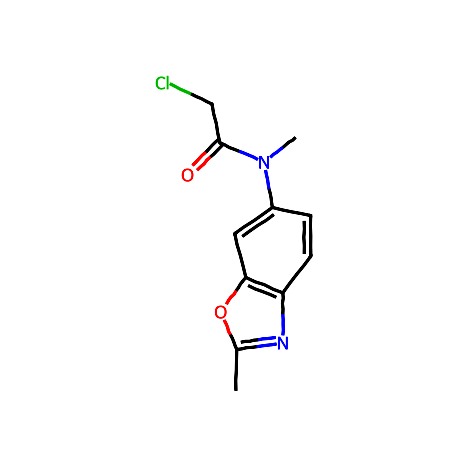 Cc1nc2ccc(N(C)C(=O)CCl)cc2o1